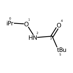 CC(C)ONC(=O)C(C)(C)C